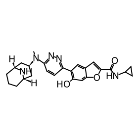 CN(c1ccc(-c2cc3cc(C(=O)NC4CC4)oc3cc2O)nn1)[C@@H]1C[C@H]2CCC[C@@H](C1)N2